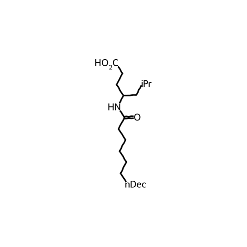 CCCCCCCCCCCCCCCC(=O)NC(CCC(=O)O)CC(C)C